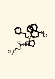 CCOc1cc([C@H]2CCC[C@@]2(CNC(=O)OCC(Cl)(Cl)Cl)N(CCc2ccccc2)Cc2ccccc2)nc2ccccc12